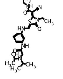 CCNC(=O)C(C#N)=c1sc(=CNc2cccc(NC(=O)CN(C(C)C)C(C)C)c2)c(=O)n1CC